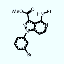 CCNc1nccc2c1c(C(=O)OC)nn2-c1cccc(Br)c1